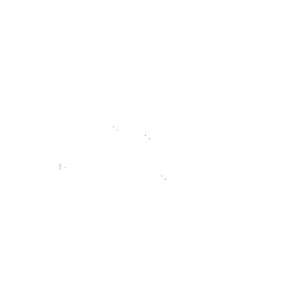 C1=CNCC(C2=C(CN3CCOCC3)N3C=C(c4ccccc4)C=CC3N2)=C1